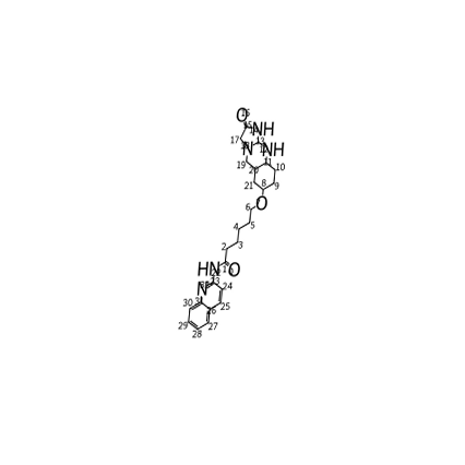 O=C(CCCCCOC1CCC2NC3NC(=O)CN3CC2C1)Nc1ccc2ccccc2n1